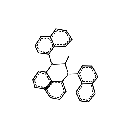 CC(P(c1ccccc1)c1cccc2ccccc12)P(c1ccccc1)c1cccc2ccccc12